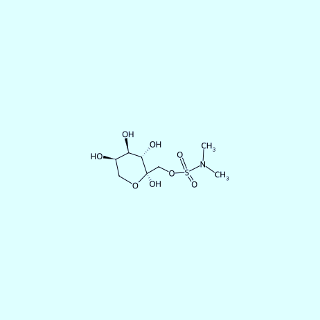 CN(C)S(=O)(=O)OC[C@@]1(O)OC[C@@H](O)[C@@H](O)[C@@H]1O